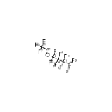 FC(F)C(F)(F)C(F)(F)C(F)(F)OCC(F)(F)F